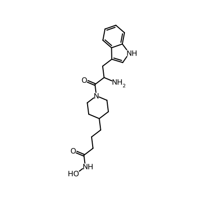 NC(Cc1c[nH]c2ccccc12)C(=O)N1CCC(CCCC(=O)NO)CC1